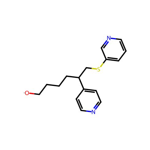 [O]CCCCC(CSc1cccnc1)c1ccncc1